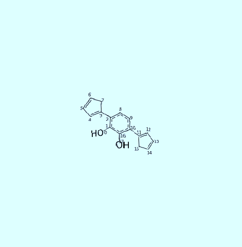 Oc1c(C2=CC=CC2)ccc(C2=CC=CC2)c1O